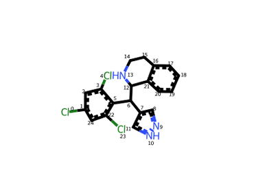 Clc1cc(Cl)c(C(c2cn[nH]c2)C2NCCc3ccccc32)c(Cl)c1